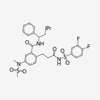 CC(C)CC(NC(=O)c1cc(N(C)S(C)(=O)=O)ccc1CCC(=O)NS(=O)(=O)c1ccc(F)c(F)c1)c1ccccc1